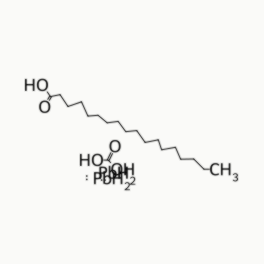 CCCCCCCCCCCCCCCCCC(=O)O.O=C(O)O.[PbH2].[PbH2]